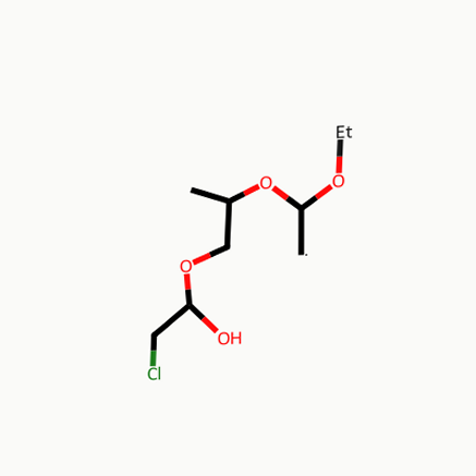 [CH2]C(OCC)OC(C)COC(O)CCl